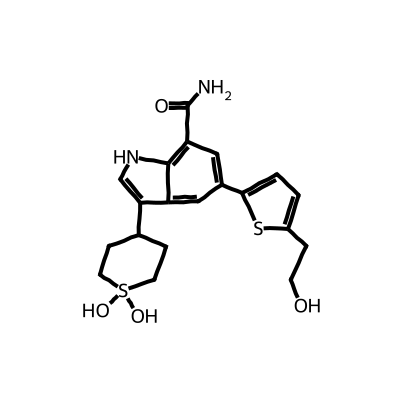 NC(=O)c1cc(-c2ccc(CCO)s2)cc2c(C3CCS(O)(O)CC3)c[nH]c12